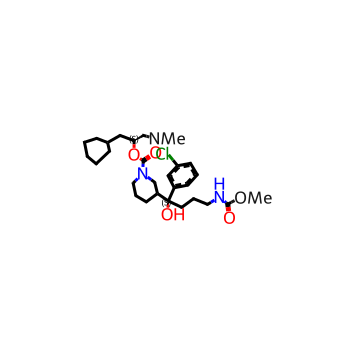 CNC[C@H](CC1CCCCC1)OC(=O)N1CCCC([C@@](O)(CCCNC(=O)OC)c2cccc(Cl)c2)C1